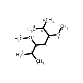 COC(CC(OC)C(C)C)C(C)C